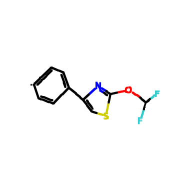 FC(F)Oc1nc(-c2cc[c]cc2)cs1